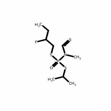 CCC(F)CSP(=O)(SC(C)C)N(C)C=S